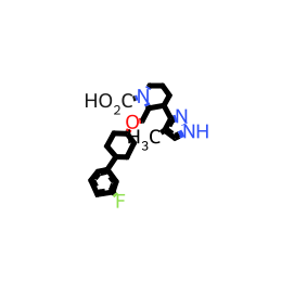 Cc1c[nH]nc1C1CCCN(C(=O)O)C1COC1CCC(c2cccc(F)c2)CC1